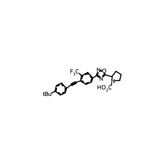 CC(C)(C)c1ccc(C#Cc2ccc(-c3noc(C4CCCN4C(=O)O)n3)cc2C(F)(F)F)cc1